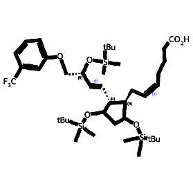 CC(C)(C)[Si](C)(C)OC1CC(O[Si](C)(C)C(C)(C)C)[C@H](C/C=C\CCCC(=O)O)[C@H]1/C=C/[C@H](COc1cccc(C(F)(F)F)c1)O[Si](C)(C)C(C)(C)C